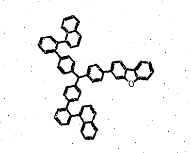 c1ccc(-c2cccc3ccccc23)c(-c2ccc(C(c3ccc(-c4ccc5c(c4)oc4ccccc45)cc3)c3ccc(-c4ccccc4-c4cccc5ccccc45)cc3)cc2)c1